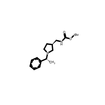 C[C@H](c1ccccc1)N1CC[C@@H](CNC(=O)OC(C)(C)C)C1